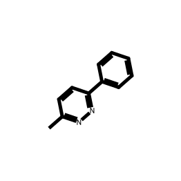 Cc1ccc(-c2ccccc2)nn1